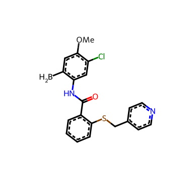 Bc1cc(OC)c(Cl)cc1NC(=O)c1ccccc1SCc1ccncc1